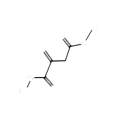 CNC(=O)CC(=O)C(=O)NC